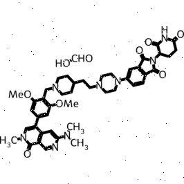 COc1cc(-c2cn(C)c(=O)c3cnc(N(C)C)cc23)cc(OC)c1CN1CCC(CCN2CCN(c3ccc4c(c3)C(=O)N(C3CCC(=O)NC3=O)C4=O)CC2)CC1.O=CO